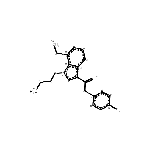 CCCCn1cc(C(=O)Cc2ccc(F)cc2)c2cccc(CC)c21